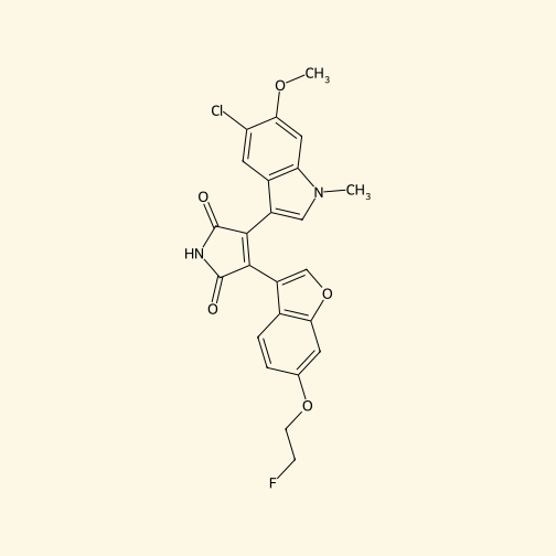 COc1cc2c(cc1Cl)c(C1=C(c3coc4cc(OCCF)ccc34)C(=O)NC1=O)cn2C